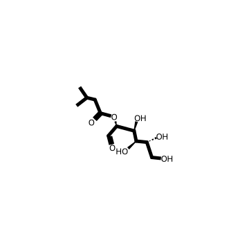 CC(C)CC(=O)O[C@@H](C=O)[C@@H](O)[C@H](O)[C@H](O)CO